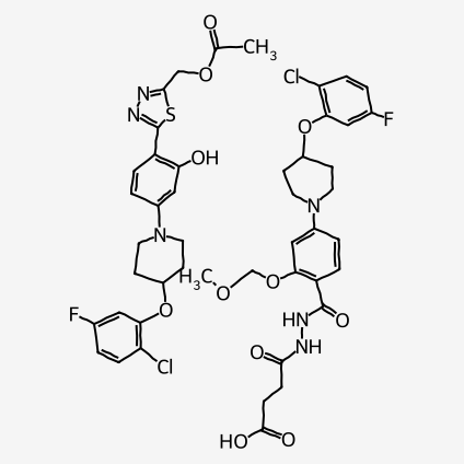 CC(=O)OCc1nnc(-c2ccc(N3CCC(Oc4cc(F)ccc4Cl)CC3)cc2O)s1.COCOc1cc(N2CCC(Oc3cc(F)ccc3Cl)CC2)ccc1C(=O)NNC(=O)CCC(=O)O